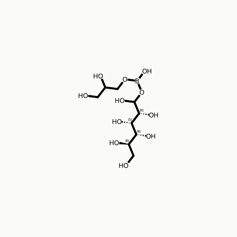 OCC(O)COB(O)OC(O)[C@H](O)[C@@H](O)[C@H](O)[C@H](O)CO